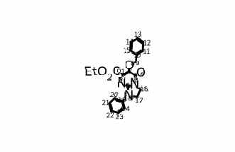 CCOC(=O)c1nc2n(c(=O)c1OCc1ccccc1)CCN2c1ccccc1